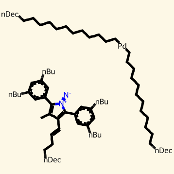 CCCCCCCCCCCCC=CC1=C(c2cc(CCCC)cc(CCCC)c2)[N+](=[N-])C(c2cc(CCCC)cc(CCCC)c2)=C1C.CCCCCCCCCCCCCCCCCCCCC[CH2][Pd][CH2]CCCCCCCCCCCCCCCCCCCCC